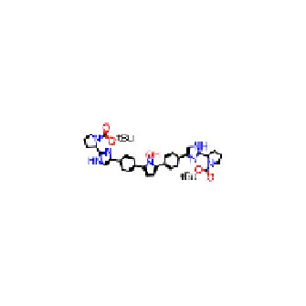 CC(C)(C)OC(=O)N1CCCC1c1nc(-c2ccc(-c3ccc(-c4ccc(-c5c[nH]c(C6CCCN6C(=O)OC(C)(C)C)n5)cc4)n3O)cc2)c[nH]1